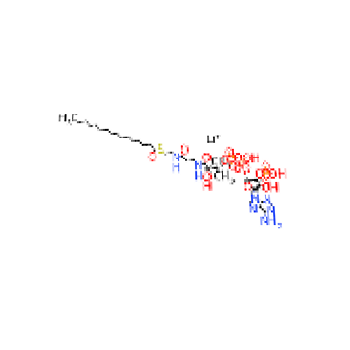 CCCCCCCCCCCCCCCC(=O)SCCNC(=O)CCNC(=O)[C@H](O)C(C)(C)COP(=O)(O)OP(=O)(O)OC[C@H]1O[C@@H](n2cnc3c(N)ncnc32)[C@H](O)[C@@H]1OP(=O)([O-])O.[Li+]